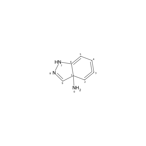 NC12C=C=CC=C1NN=C2